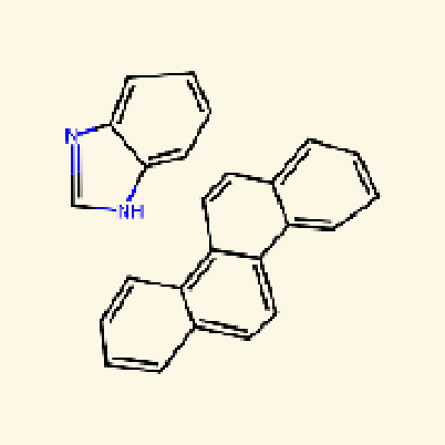 c1ccc2[nH]cnc2c1.c1ccc2c(c1)ccc1c3ccccc3ccc21